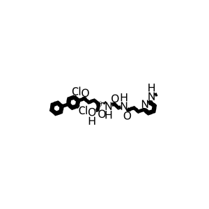 CNc1cccc(CCC(=O)NCC(=O)NC[C@@H](CCC(=O)c2c(Cl)cc(-c3ccccc3)cc2Cl)C(=O)O)n1